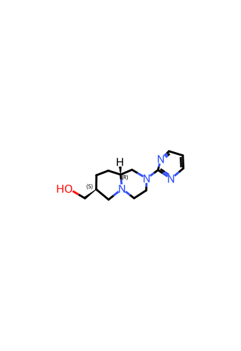 OC[C@H]1CC[C@@H]2CN(c3ncccn3)CCN2C1